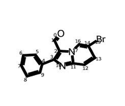 O=Cc1c(-c2ccccc2)nc2ccc(Br)cn12